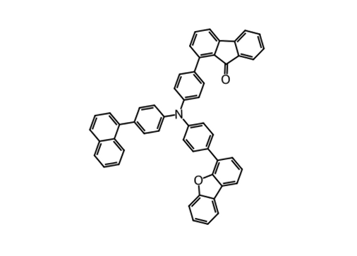 O=C1c2ccccc2-c2cccc(-c3ccc(N(c4ccc(-c5cccc6ccccc56)cc4)c4ccc(-c5cccc6c5oc5ccccc56)cc4)cc3)c21